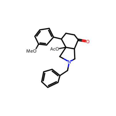 COc1cccc(C2CCC(=O)C3CN(Cc4ccccc4)CC32OC(C)=O)c1